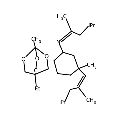 CC(=CC1(C)CCCC(N=C(C)CC(C)C)C1)CC(C)C.CCC12COC(C)(OC1)OC2